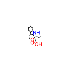 CCCC1(CC(=O)O)OCCc2c1[nH]c1cc(C)ccc21